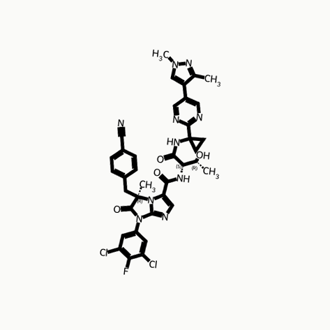 Cc1nn(C)cc1-c1cnc(C2(NC(=O)[C@@H](NC(=O)c3cnc4n3[C@](C)(Cc3ccc(C#N)cc3)C(=O)N4c3cc(Cl)c(F)c(Cl)c3)[C@@H](C)O)CC2)nc1